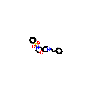 O=S(=O)(c1ccccc1)N1CCOC2(CCN(CCc3ccccc3)CC2)C1